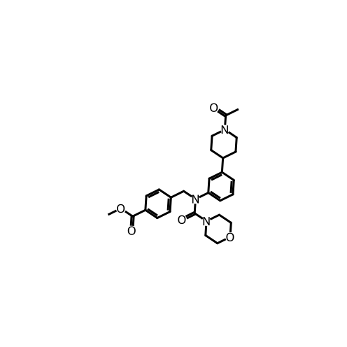 COC(=O)c1ccc(CN(C(=O)N2CCOCC2)c2cccc(C3CCN(C(C)=O)CC3)c2)cc1